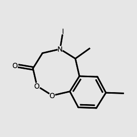 Cc1ccc2c(c1)C(C)N(I)CC(=O)OO2